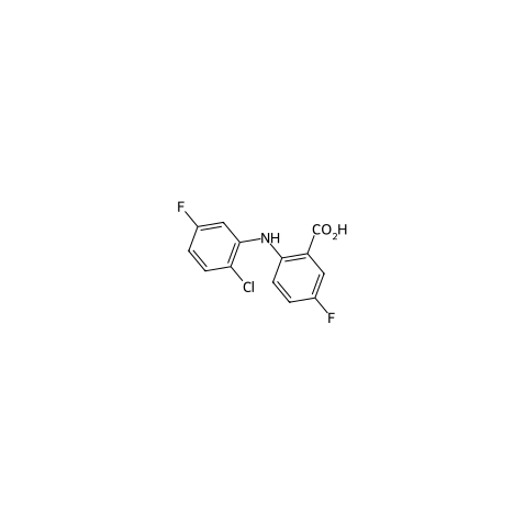 O=C(O)c1cc(F)ccc1Nc1cc(F)ccc1Cl